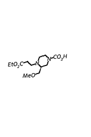 CCOC(=O)CCN1CCN(C(=O)O)C[C@H]1COC